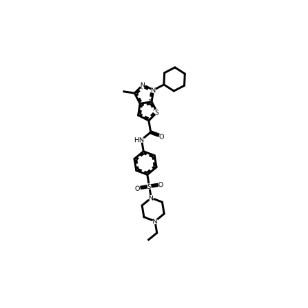 CCN1CCN(S(=O)(=O)c2ccc(NC(=O)c3cc4c(C)nn(C5CCCCC5)c4s3)cc2)CC1